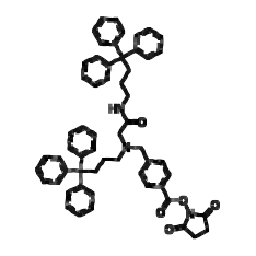 O=C(CN(CCCC(c1ccccc1)(c1ccccc1)c1ccccc1)Cc1ccc(C(=O)ON2C(=O)CCC2=O)cc1)NCCCC(c1ccccc1)(c1ccccc1)c1ccccc1